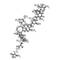 CCN[C@H]1CO[C@@H](O[C@H]2[C@H](O[C@H]3C#C/C=C\C#C[C@]4(O)CC(=O)C(NC(=O)OC)=C3/C4=C\CSSC(C)(C)CCC(=O)NCCCC[C@H](N)C(=O)O)O[C@H](C)[C@@H](NO[C@H]3C[C@H](O)[C@H](SC(=O)c4c(C)c(I)c(O[C@@H]5O[C@@H](C)[C@H](O)[C@@H](OC)[C@H]5O)c(OC)c4OC)[C@@H](C)O3)[C@H]2O)C[C@@H]1OC